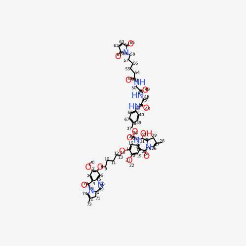 COc1cc2c(cc1OCCCCCOc1cc3c(cc1OC)C(=O)N1C=C(C)CC1C(O)N3C(=O)OCc1ccc(NC(=O)C(C)NC(=O)CNC(=O)CCCCCN3C(=O)C=CC3=O)cc1)N=CC1CC(C)=CN1C2=O